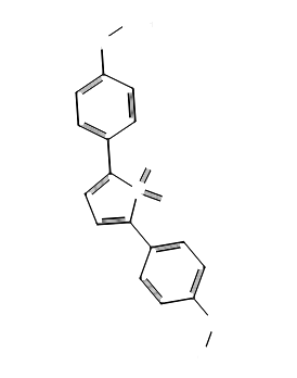 CCCCCOc1ccc(C2=CC=C(c3ccc(OCCCCC)cc3)S2(=O)=O)cc1